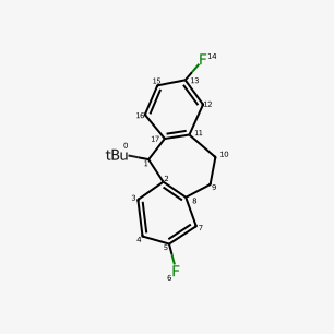 CC(C)(C)C1c2ccc(F)cc2CCc2cc(F)ccc21